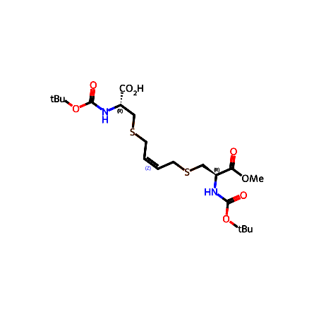 COC(=O)[C@H](CSC/C=C\CSC[C@H](NC(=O)OC(C)(C)C)C(=O)O)NC(=O)OC(C)(C)C